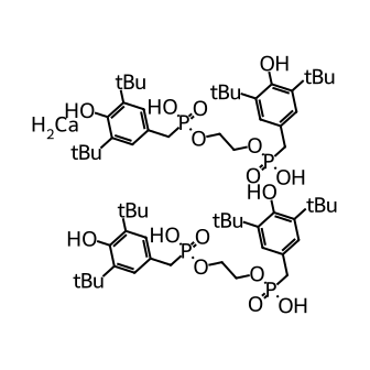 CC(C)(C)c1cc(CP(=O)(O)OCCOP(=O)(O)Cc2cc(C(C)(C)C)c(O)c(C(C)(C)C)c2)cc(C(C)(C)C)c1O.CC(C)(C)c1cc(CP(=O)(O)OCCOP(=O)(O)Cc2cc(C(C)(C)C)c(O)c(C(C)(C)C)c2)cc(C(C)(C)C)c1O.[CaH2]